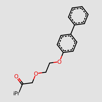 CC(C)C(=O)COCCOc1ccc(-c2ccccc2)cc1